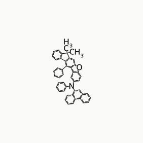 CC1(C)c2ccccc2-c2c1cc1oc3ccc(N(c4ccccc4)c4cc5ccccc5c5ccccc45)cc3c1c2-c1ccccc1